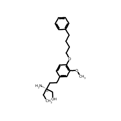 CC[C@](N)(CO)CCc1ccc(OCCCCc2ccccc2)c(OC)c1